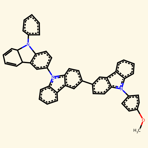 COc1ccc(-n2c3ccccc3c3cc(-c4ccc5c(c4)c4ccccc4n5-c4ccc5c(c4)C4C=CC=CC4N5c4ccccc4)ccc32)cc1